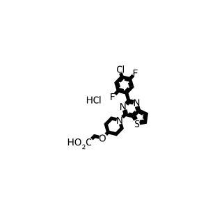 Cl.O=C(O)COC1CCN(c2nc(-c3cc(F)c(Cl)cc3F)nc3ccsc23)CC1